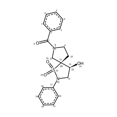 O=C(c1ccccc1)N1CC[C@@]2(C1)[C@@H](O)CN(c1ccccc1)S2(=O)=O